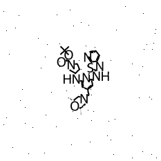 C[C@@H]1CN(Cc2cc(Nc3nc4cccnc4s3)nc(N[C@H]3CCN(C(=O)OC(C)(C)C)C3)c2)C[C@H](C)O1